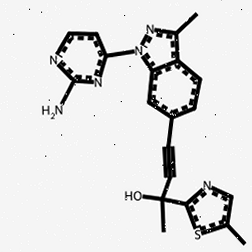 Cc1cnc(C(C)(O)C#Cc2ccc3c(C)nn(-c4ccnc(N)n4)c3c2)s1